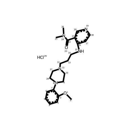 COc1ccccc1N1CCN(CCCNc2ccncc2C(=O)N(C)C)CC1.Cl